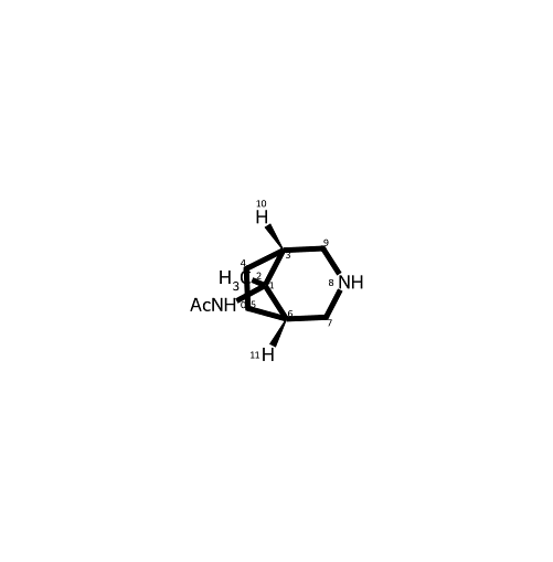 CC(=O)NC1(C)[C@@H]2CC[C@H]1CNC2